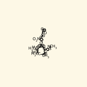 C=CC[C@H]1C(=O)C(C)(C)[C@@H](OC(=O)OCc2ccc(OC(=O)CCCN3C(=O)C=CC3=O)c([N+](=O)[O-])c2)CC(=O)O[C@H](c2ccc3sc(C)nc3c2)C[C@@H]2O[C@]2(C)CCC[C@H](C)[C@@H]1O